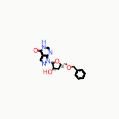 O=c1[nH]cnc2c1cnn2[C@@H]1O[C@H](COCc2ccccc2)C[C@H]1O